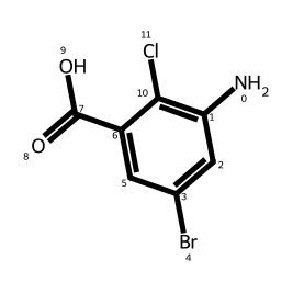 Nc1cc(Br)cc(C(=O)O)c1Cl